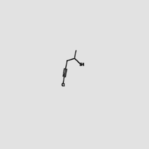 CC(S)CC#CCl